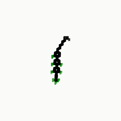 CCCCCCCc1ccc(-c2cc(F)c(-c3cc(F)c(C#CC(F)(F)F)c(F)c3)c(F)c2)c(F)c1